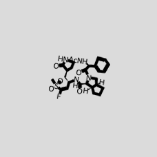 CC(=O)N[C@H](C(=O)N1C[C@H]2CCC[C@H]2[C@H]1C(=O)N[C@H](/C=C(/F)S(C)(=O)=O)C[C@@H]1CCNC1=O)c1ccccc1